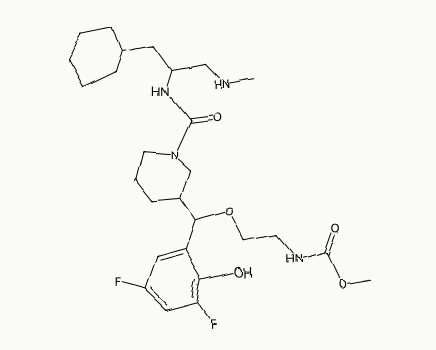 CNCC(CC1CCCCC1)NC(=O)N1CCCC(C(OCCNC(=O)OC)c2cc(F)cc(F)c2O)C1